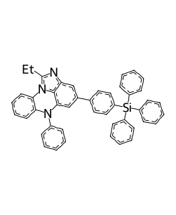 CCc1nc2cc(-c3ccc([Si](c4ccccc4)(c4ccccc4)c4ccccc4)cc3)cc3c2n1-c1ccccc1N3c1ccccc1